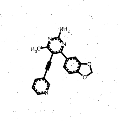 Cc1nc(N)nc(-c2ccc3c(c2)OCO3)c1C#Cc1cccnc1